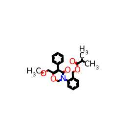 COCC1=C(c2ccccc2)C(=O)N(c2ccccc2COC(=O)C(C)C)CO1